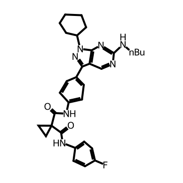 CCCCNc1ncc2c(-c3ccc(NC(=O)C4(C(=O)Nc5ccc(F)cc5)CC4)cc3)nn(C3CCCCC3)c2n1